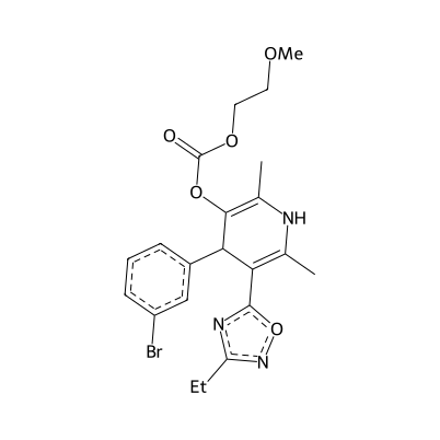 CCc1noc(C2=C(C)NC(C)=C(OC(=O)OCCOC)C2c2cccc(Br)c2)n1